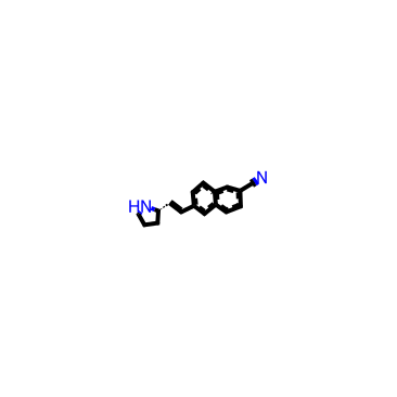 N#Cc1ccc2cc(C=C[C@@H]3CCCN3)ccc2c1